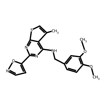 COc1ccc(CNc2nc(-c3ccno3)nc3scc(C)c23)cc1OC